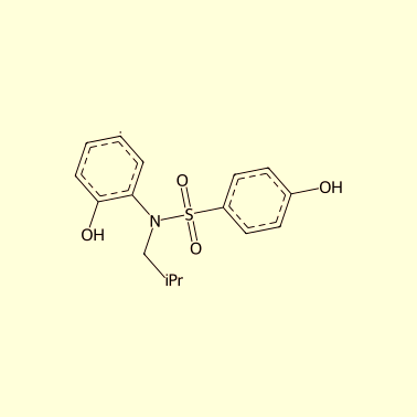 CC(C)CN(c1c[c]ccc1O)S(=O)(=O)c1ccc(O)cc1